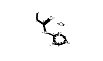 CCC(=O)Oc1ncncn1.[Cu]